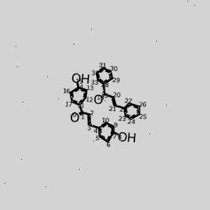 O=C(C=Cc1ccc(O)cc1)c1ccc(O)cc1.O=C(C=Cc1ccccc1)c1ccccc1